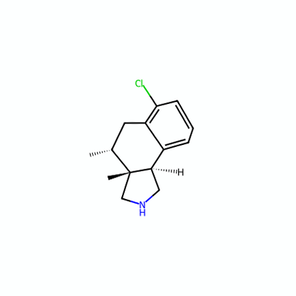 C[C@@H]1Cc2c(Cl)cccc2[C@H]2CNC[C@]12C